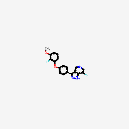 COc1cccc(Oc2ccc(-c3n[nH]c4c(F)cncc34)cc2)c1F